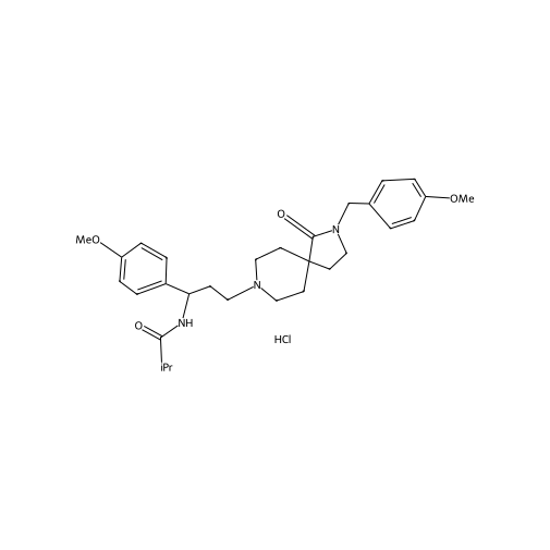 COc1ccc(CN2CCC3(CCN(CCC(NC(=O)C(C)C)c4ccc(OC)cc4)CC3)C2=O)cc1.Cl